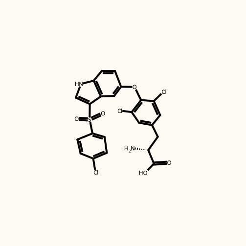 N[C@H](Cc1cc(Cl)c(Oc2ccc3[nH]cc(S(=O)(=O)c4ccc(Cl)cc4)c3c2)c(Cl)c1)C(=O)O